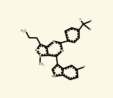 CCCc1nn(C)c2c(-c3c[nH]c4ccc(F)cc34)nc(-c3ccc(C(F)(F)F)cc3)nc12